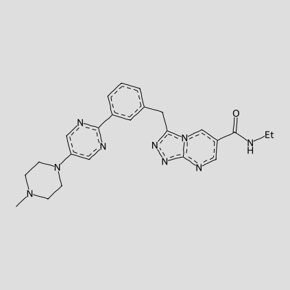 CCNC(=O)c1cnc2nnc(Cc3cccc(-c4ncc(N5CCN(C)CC5)cn4)c3)n2c1